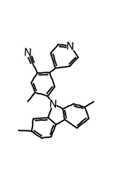 Cc1ccc2c3ccc(C)cc3n(-c3cc(-c4ccncc4)c(C#N)cc3C)c2c1